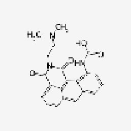 CN(C)CCN1C(=O)c2cccc3cc4cccc(NC(=O)O)c4c(c23)C1=O